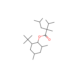 CC(C)CC(C)(C(=O)OC1C(C)CC(C)CC1C(C)(C)C)C(C)C